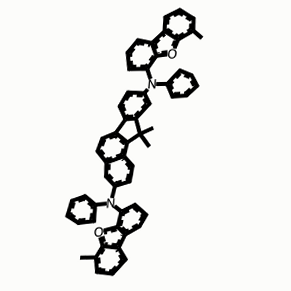 Cc1cccc2c1oc1c(N(c3ccccc3)c3ccc4c(c3)C(C)(C)c3c-4ccc4cc(N(c5ccccc5)c5cccc6c5oc5c(C)cccc56)ccc34)cccc12